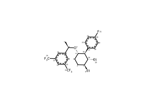 CC[C@H]1CC[C@H](O[C@H](C)c2cc(C(F)(F)F)cc(C(F)(F)F)c2)[C@@H](c2ccc(F)cc2)[C@@H]1CC